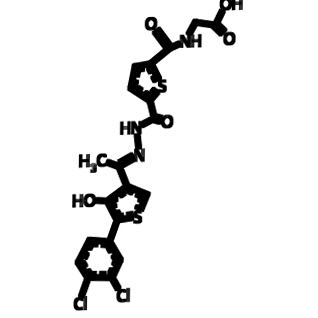 C/C(=N\NC(=O)c1ccc(C(=O)NCC(=O)O)s1)c1csc(-c2ccc(Cl)c(Cl)c2)c1O